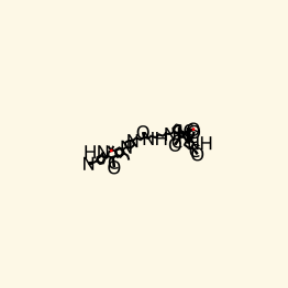 CCc1cc2c(cc1N1CCN(CCC(=O)NCCCCCNc3cccc4c(=C=O)n(C5CCC(=C=O)NC5=C=O)c(=C=O)c34)CC1)C(C)(C)c1[nH]c3cc(C#N)ccc3c1C2=C=O